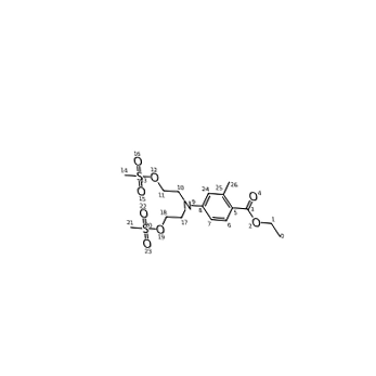 CCOC(=O)c1ccc(N(CCOS(C)(=O)=O)CCOS(C)(=O)=O)cc1C